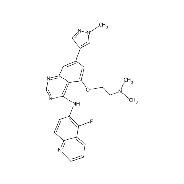 CN(C)CCOc1cc(-c2cnn(C)c2)cc2ncnc(Nc3ccc4ncccc4c3F)c12